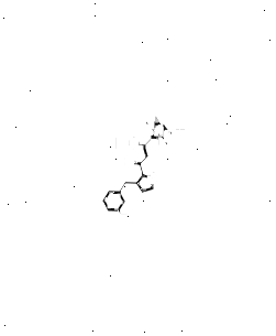 O=C(C=C(O)c1nn[nH]n1)c1sccc1Cc1cccc(F)c1